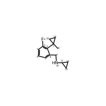 CC1(c2c(F)cccc2CNC2CC2)CC1